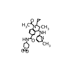 CC(=O)N1c2ccc(C(=O)NC3CCS(=O)(=O)CC3)cc2[C@H](Nc2cccc(C)n2)[C@@H](C)C1C1CC1